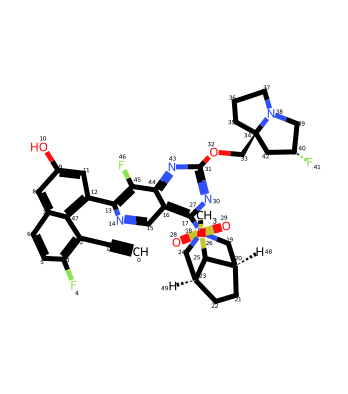 C#Cc1c(F)ccc2cc(O)cc(-c3ncc4c(N5C[C@H]6CC[C@@H](C5)C6S(C)(=O)=O)nc(OC[C@@]56CCCN5C[C@H](F)C6)nc4c3F)c12